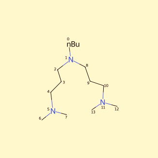 CCCCN(CCCN(C)C)CCCN(C)C